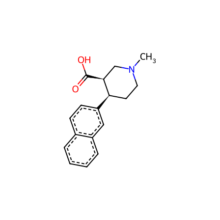 CN1CC[C@@H](c2ccc3ccccc3c2)[C@@H](C(=O)O)C1